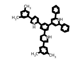 Cc1cc(C)cc(C2=CNC(c3cc(C4=CC(c5ccccc5)NC(c5ccccc5)=C4)cc(C4=CC=C(c5cc(C)cc(C)c5)CN4)c3)C=C2)c1